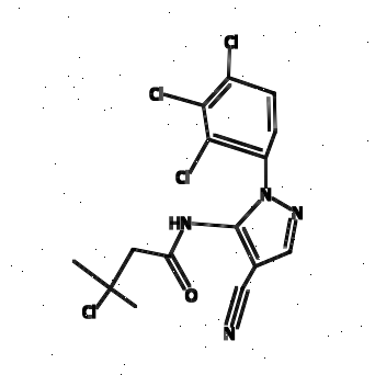 CC(C)(Cl)CC(=O)Nc1c(C#N)cnn1-c1ccc(Cl)c(Cl)c1Cl